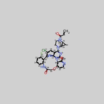 C=CC(=O)N1CCN(c2nc(=O)n3c4nc(c(Cl)cc24)-c2c(F)cccc2NC(=O)COc2ccnc(C(C)C)c2-3)[C@@H]2C[C@@H]21